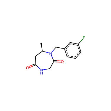 C[C@@H]1CC(=O)NCC(=O)N1Cc1cccc(F)c1